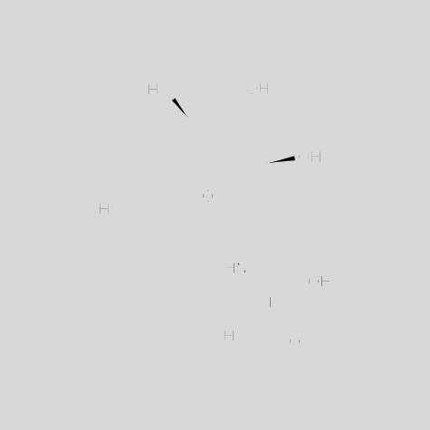 O=P(O)(O)NOC1O[C@H](CO)[C@@H](O)[C@H](O)[C@H]1O